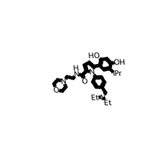 CCN(CC)Cc1ccc(-n2c(C(=O)NCCN3CCOCC3)ccc2-c2cc(C(C)C)c(O)cc2O)cc1